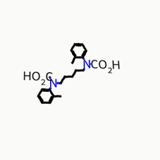 Cc1ccccc1N(CCCCCN(C(=O)O)c1ccccc1C)C(=O)O